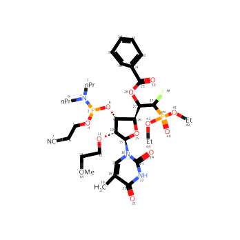 CCCN(CCC)P(OCCC#N)O[C@H]1[C@@H](OCCOC)[C@H](n2cc(C)c(=O)[nH]c2=O)O[C@@H]1C(OC(=O)c1ccccc1)C(F)P(=O)(OCC)OCC